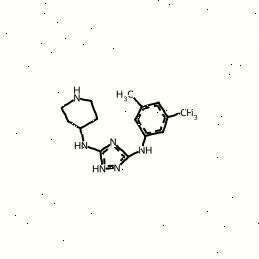 Cc1cc(C)cc(Nc2n[nH]c(NC3CCNCC3)n2)c1